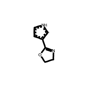 [c]1[nH]ccc1C1=NCCO1